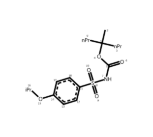 CCCC(C)(CCC)OC(=O)NS(=O)(=O)c1ccc(OC(C)C)cc1